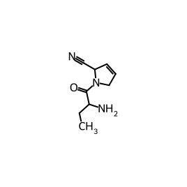 CCC(N)C(=O)N1CC=CC1C#N